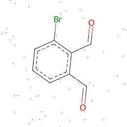 O=Cc1cccc(Br)c1C=O